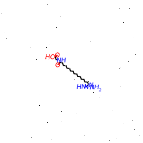 N=N/C(CCCCCCCCCCCCCCCC(=O)NCC(=O)O)=N\N